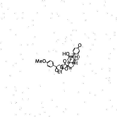 CCC(=O)O[C@]1(C(=O)SCC(=O)c2ccc(OC)cc2)[C@@H](C)C[C@H]2[C@@H]3CCC4=CC(=O)C=C[C@]4(C)[C@@]3(F)[C@@H](O)C[C@@]21C